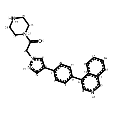 O=C(Cn1cc(-c2ccc(-c3cncc4ccccc34)cc2)cn1)N1CCNCC1